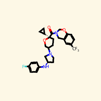 O=C(N1COc2ccc(C(F)(F)F)cc2C1)[C@@]1(C2CC2)CCC(N2CC[C@@H](Nc3ccc(F)cc3)C2)CO1